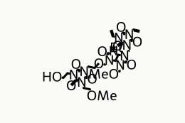 C=Cn1c(=O)n(C=C)c(=O)n(CN2C(=O)N(COC)C3C2N(CC)C(=O)N3COCCn2c(=O)n(CCO)c(=O)n(CCOC)c2=O)c1=O